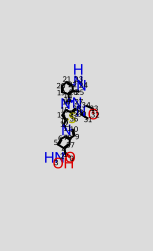 O=C(NO)c1ccc2c(ccn2Cc2cc3nc(-c4cccc5[nH]ncc45)nc(N4CCOCC4)c3s2)c1